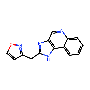 c1ccc2c(c1)ncc1nc(Cc3ccon3)[nH]c12